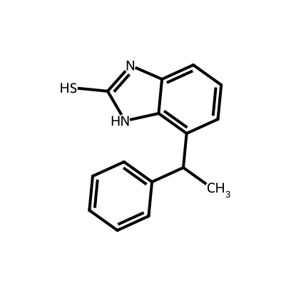 CC(c1ccccc1)c1cccc2nc(S)[nH]c12